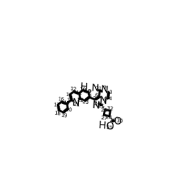 Nc1nccn2c1c(-c1ccc3ccc(-c4ccccc4)nc3c1)nc2[C@H]1C[C@@H](C(=O)O)C1